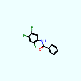 O=C(Nc1cc(F)c(F)cc1F)c1ccccc1